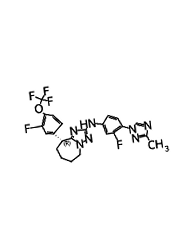 Cc1ncn(-c2ccc(Nc3nc4n(n3)CCCC[C@@H]4c3ccc(OC(F)(F)F)c(F)c3)cc2F)n1